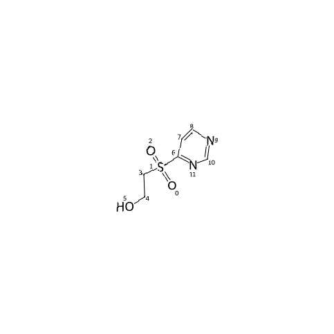 O=S(=O)(CCO)c1ccncn1